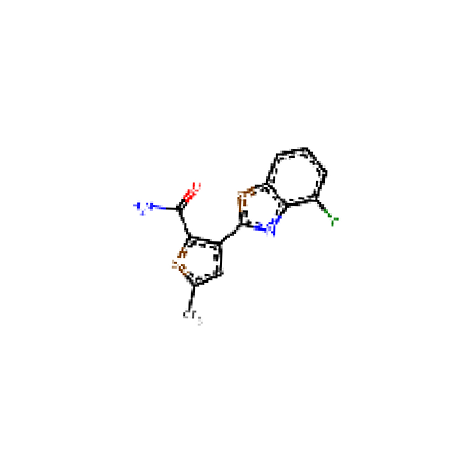 NC(=O)c1sc(C(F)(F)F)cc1-c1nc2c(Cl)cccc2s1